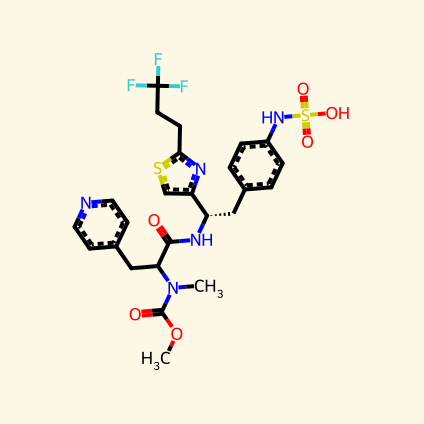 COC(=O)N(C)C(Cc1ccncc1)C(=O)N[C@@H](Cc1ccc(NS(=O)(=O)O)cc1)c1csc(CCC(F)(F)F)n1